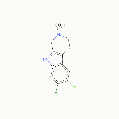 O=C(O)N1CCc2c([nH]c3cc(Cl)c(F)cc23)C1